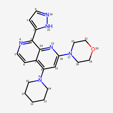 c1cc(-c2nccc3c(N4CCCCC4)cc(N4CCOCC4)nc23)[nH]n1